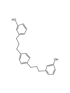 Oc1cccc(CCCc2ccc(CCCc3cccc(O)c3)cc2)c1